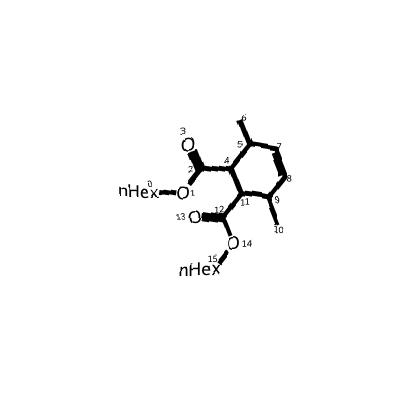 CCCCCCOC(=O)C1C(C)C=CC(C)C1C(=O)OCCCCCC